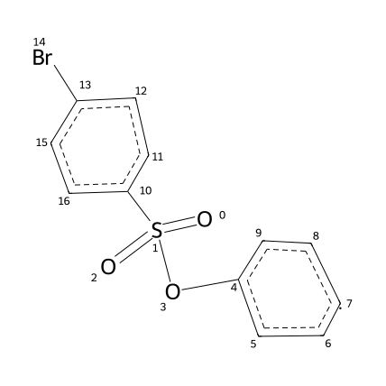 O=S(=O)(Oc1cc[c]cc1)c1ccc(Br)cc1